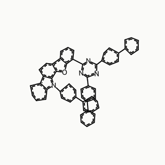 c1ccc(-c2ccc(-c3nc(-c4ccc(-c5ccccc5)cc4)nc(-c4cccc5c4oc4c5ccc5c6ccccc6n(-c6ccc(-c7ccccc7)cc6)c54)n3)cc2)cc1